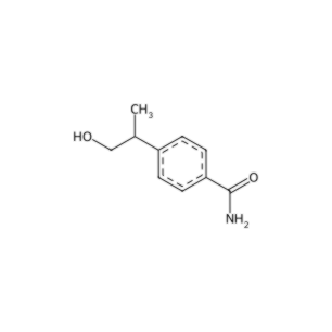 CC(CO)c1ccc(C(N)=O)cc1